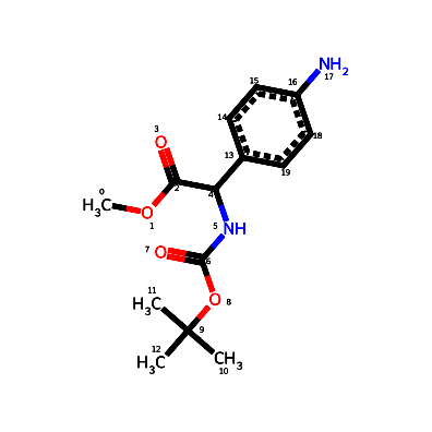 COC(=O)C(NC(=O)OC(C)(C)C)c1ccc(N)cc1